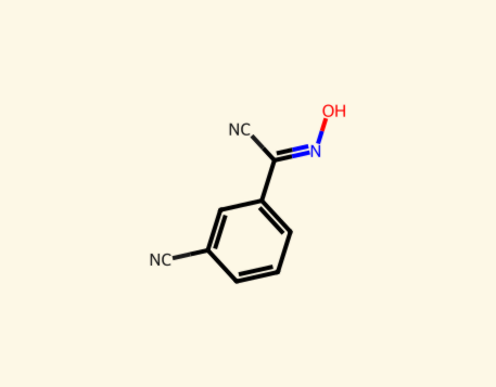 N#C/C(=N\O)c1cccc(C#N)c1